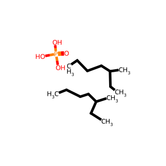 CCCCC(C)CC.CCCCC(C)CC.O=P(O)(O)O